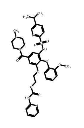 COc1ccccc1Oc1c(NS(=O)(=O)c2ccc(C(C)C)cn2)cc(C(=O)N2CCN(C)CC2)cc1OCCOC(=O)Nc1ccccn1